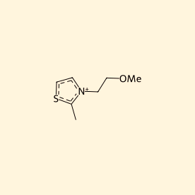 COCC[n+]1ccsc1C